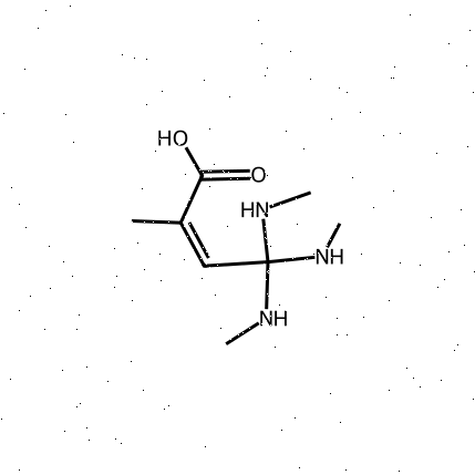 CNC(C=C(C)C(=O)O)(NC)NC